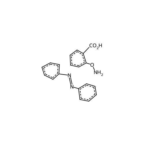 NOc1ccccc1C(=O)O.c1ccc(N=Nc2ccccc2)cc1